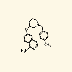 Cc1ccc(CN2CCC[C@H](Oc3ccc4c(N)nccc4c3)C2)cc1